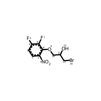 O=[N+]([O-])c1ccc(F)c(F)c1OCC(O)CBr